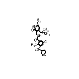 CCN(c1cc(Cl)cc(C(=O)NCc2c(CN(C)C)cc(C)[nH]c2=O)c1C)C1CCOCC1